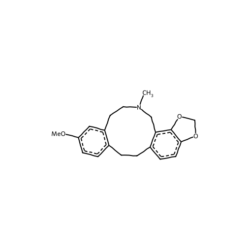 COc1ccc2c(c1)CCN(C)Cc1c(ccc3c1OCO3)CC2